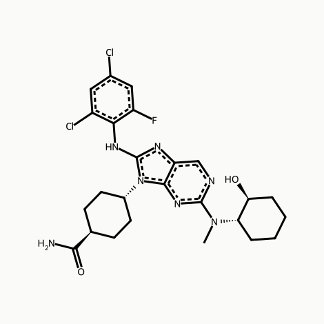 CN(c1ncc2nc(Nc3c(F)cc(Cl)cc3Cl)n([C@H]3CC[C@H](C(N)=O)CC3)c2n1)[C@H]1CCCC[C@@H]1O